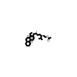 CC(=O)OCC[C@H](CC[C@@H](C)[C@H]1CC[C@H]2[C@@H]3CCC4CCCC[C@]4(C)[C@H]3CC[C@]12C)C(C)C